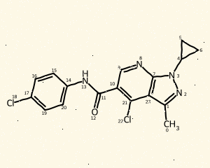 Cc1nn(C2CC2)c2ncc(C(=O)Nc3ccc(Cl)cc3)c(Cl)c12